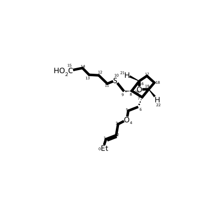 CCC=CCOCC[C@@H]1[C@H](CSCCCCC(=O)O)[C@@H]2CC[C@H]1O2